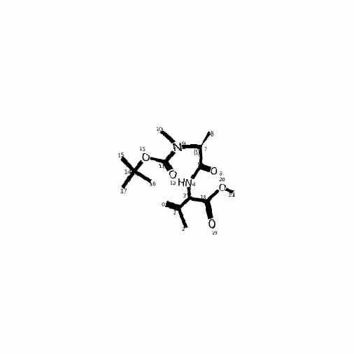 C=C(C)C(NC(=O)[C@H](C)N(C)C(=O)OC(C)(C)C)C(=O)OC